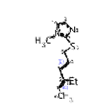 C/C=C(/C=C/CSc1nccn1C)CC